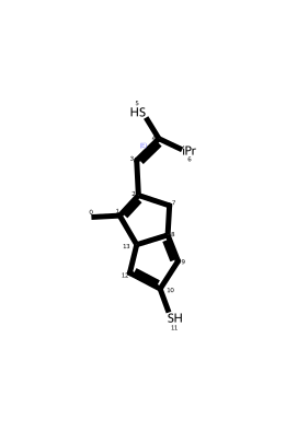 CC1=C(/C=C(/S)C(C)C)CC2=CC(S)=CC21